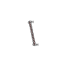 O=C(O)CCOCCOCCOCCOCCOCCOCCOCCOCCOCCOCCOCCOCCOCCC(=O)O